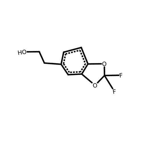 OCCc1ccc2c(c1)OC(F)(F)O2